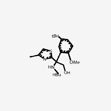 CCCCNC(CO)(c1nc(C)cs1)c1cc(C(C)(C)C)ccc1OC